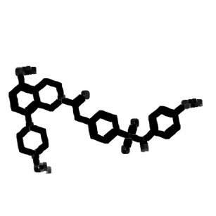 COc1ccc(NS(=O)(=O)c2ccc(CC(=O)N3CCc4c(OC)ccc(N5CCN(C)CC5)c4C3)cc2)cc1